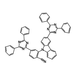 N#Cc1ccc(-c2nc(-c3ccccc3)nc(-c3ccccc3)n2)cc1-n1c2ccccc2c2cc(-c3nc(-c4ccccc4)nc(-c4ccccc4)n3)ccc21